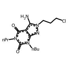 CCCCn1c(=O)n(CCC)c(=O)c2c(N)n(CCCCl)nc21